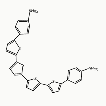 CCCCCCc1ccc(-c2ccc(-c3ccc(-c4ccc(-c5ccc(-c6ccc(CCCCCC)cc6)s5)s4)s3)s2)cc1